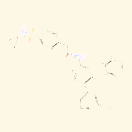 O=C(Cc1ccc(S(=O)(=O)NC2CC2)cc1)Nc1ccc(-c2cccc(F)c2)c(Oc2cccc(Cl)c2)c1